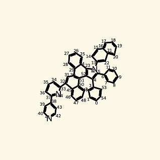 c1ccc(-c2c(-c3ccccc3)n(-c3ccc4ccccc4c3)c3c4ccccc4c4cc(-c5cccc(-c6ccncc6)n5)c5ccccc5c4c23)cc1